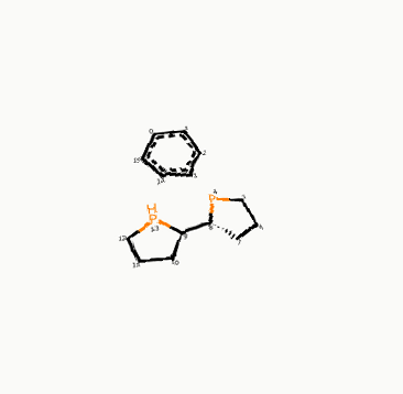 c1ccc([P@@]2CCC[C@@H]2[C@H]2CCCP2)cc1